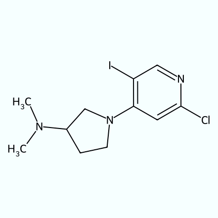 CN(C)C1CCN(c2cc(Cl)ncc2I)C1